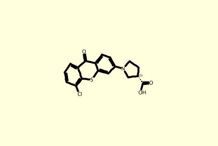 O=C(O)[C@H]1CCN(c2ccc3c(=O)c4cccc(Cl)c4sc3c2)C1